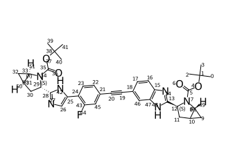 CC(C)(C)OC(=O)N1[C@@H]2CC2C[C@H]1c1nc2ccc(C#Cc3ccc(-c4cnc([C@@H]5C[C@H]6C[C@H]6N5C(=O)OC(C)(C)C)[nH]4)c(F)c3)cc2[nH]1